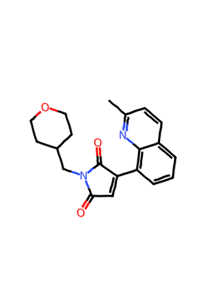 Cc1ccc2cccc(C3=CC(=O)N(CC4CCOCC4)C3=O)c2n1